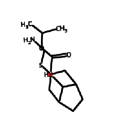 CC(C)OC(=O)NC1C2CCC1CC(SCN)C2